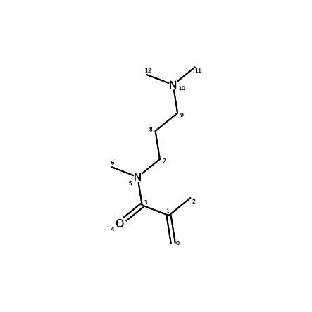 C=C(C)C(=O)N(C)CCCN(C)C